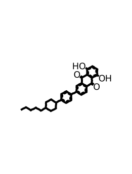 CCCCCC1CCC(c2ccc(-c3ccc4c(c3)C(=O)c3c(O)ccc(O)c3C4=O)cc2)CC1